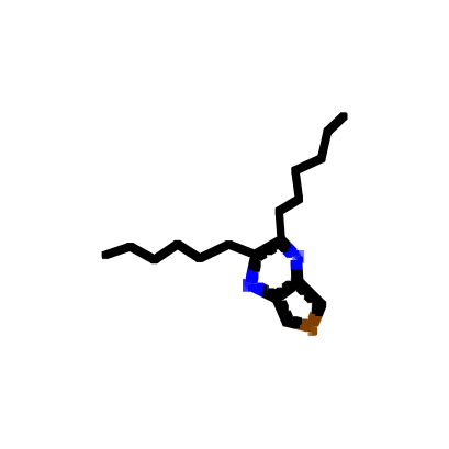 CCCCCCc1nc2cscc2nc1CCCCCC